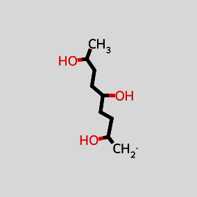 [CH2]C(O)CCC(O)CCC(C)O